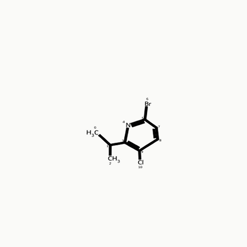 CC(C)c1nc(Br)ccc1Cl